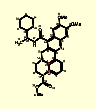 COc1cc2nc(-c3ccccc3)c(CN3CCN(C(=O)OC(C)(C)C)CC3)c(C(=O)N[C@@H](C)C3CCCCC3)c2cc1OC